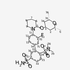 C[C@@H]1CC(OC2CCCCN2c2ccc(-c3cc(S(N)(=O)=O)ccc3S(=O)(=O)N(C)C)cc2F)C[C@H](C)O1